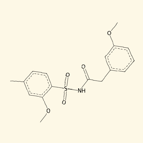 COc1cccc(CC(=O)NS(=O)(=O)c2ccc(C)cc2OC)c1